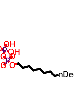 CCCCCCCCCCCCCCCCCCOP(=O)(O)OP(=O)(O)O